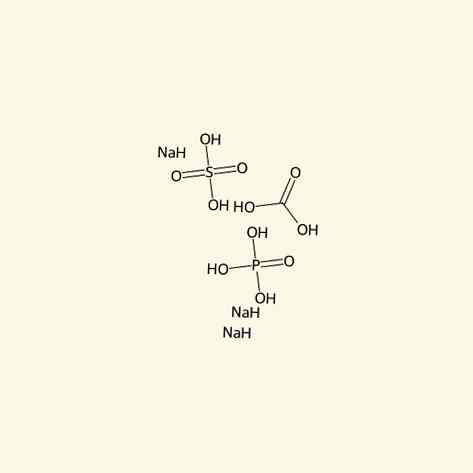 O=C(O)O.O=P(O)(O)O.O=S(=O)(O)O.[NaH].[NaH].[NaH]